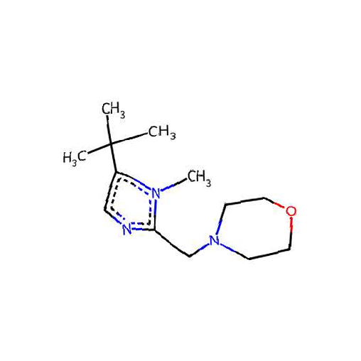 Cn1c(C(C)(C)C)cnc1CN1CCOCC1